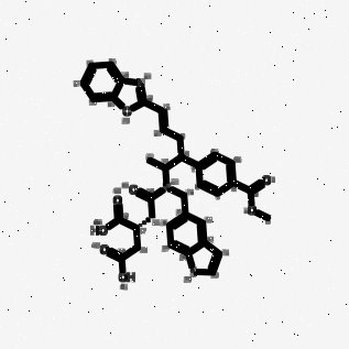 COC(=O)c1ccc(C(C/C=C/c2nc3ccccc3o2)C(C)N(Cc2ccc3sccc3c2)C(=O)C[C@H](CC(=O)O)C(=O)O)cc1